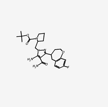 CC(C)(C)OC(=O)N1CCCC1Cn1nc(C2CCOc3cc(F)ccc3C2)c(C(N)=O)c1N